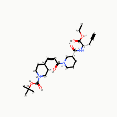 C#CC[C@H](NC(=O)[C@@H]1CCCN(C(=O)/C=C\C2CCN(C(=O)OC(C)(C)C)CC2)C1)C(=O)OCC